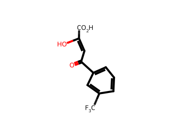 O=C(O)/C(O)=C/C(=O)c1cccc(C(F)(F)F)c1